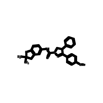 COc1ccc(C2=NN(C(=O)Nc3ccc4c(c3)CC(C)(C)O4)CC2c2ccccc2)cc1